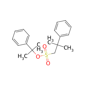 CC(C)(CS(=O)(=O)OC(C)(C)c1ccccc1)c1ccccc1